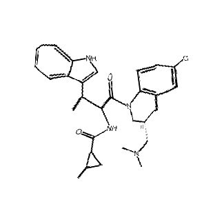 CC1CC1C(=O)NC(C(=O)N1C[C@@H](CN(C)C)Cc2cc(Cl)ccc21)C(C)c1c[nH]c2ccccc12